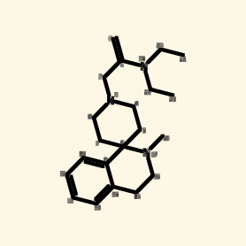 C=C(CN1CCC2(CC1)c1ccccc1CCN2C)N(CC)CC